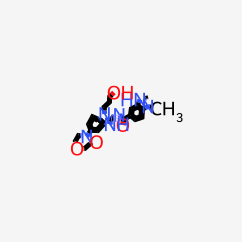 CN1CNc2cc(C(=O)/N=c3\[nH]c4cc(N5CCOCC5=O)ccc4n3CCCO)ccc21